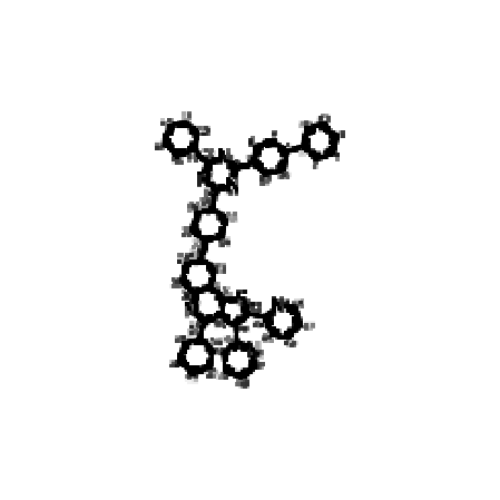 c1ccc(-c2ccc(-c3nc(-c4ccccc4)nc(-c4ccc(-c5ccc6nc(-c7ccccc7)c7c(-c8ccccn8)c(-c8ccccn8)sc7c6c5)cc4)n3)cc2)cc1